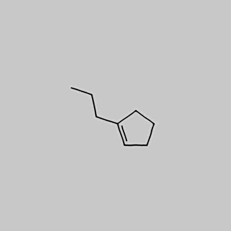 CCCC1=CC[CH]C1